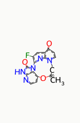 C[C@@H]1CCn2ccc(=O)c3cc(F)c(nc32)-n2c(=O)[nH]c3nccc(c32)O1